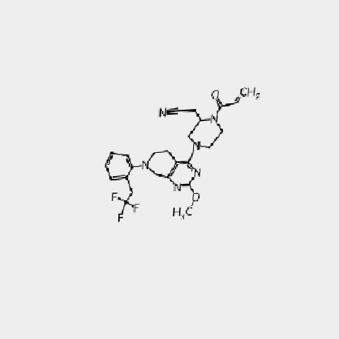 C=CC(=O)N1CCN(c2nc(OC)nc3c2CCN(c2ccccc2CC(F)(F)F)C3)CC1CC#N